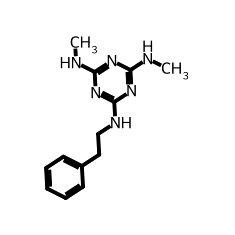 CNc1nc(NC)nc(NCCc2ccccc2)n1